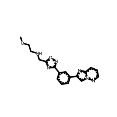 COCCNCc1nc(-c2cccc(-c3cn4ncccc4n3)c2)no1